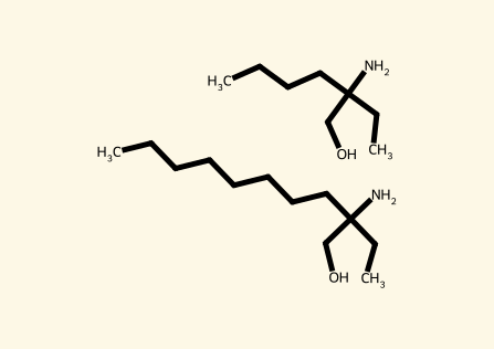 CCCCC(N)(CC)CO.CCCCCCCCC(N)(CC)CO